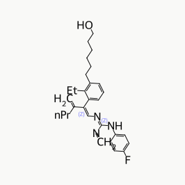 C=N/C(=N\C=C(\C(=C)CCC)c1cccc(CCCCCCO)c1CC)Nc1ccc(F)cc1